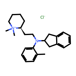 Cc1ccccc1N(CC[C@@H]1CCCC[N+]1(C)C)C1Cc2ccccc2C1.[Cl-]